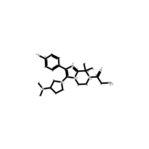 CN(C)C1CCN(c2c(-c3ccc(F)cc3)nc3n2CCN(C(=O)CN)C3(C)C)C1